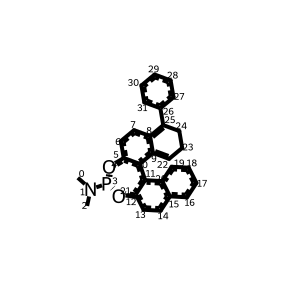 CN(C)p1oc2ccc3c(c2c2c(ccc4ccccc42)o1)=CCCC=3c1ccccc1